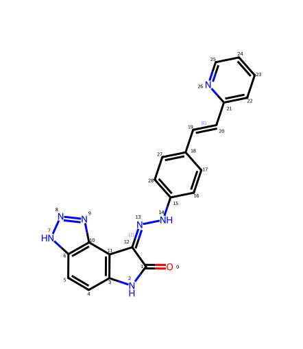 O=C1Nc2ccc3[nH]nnc3c2/C1=N/Nc1ccc(/C=C/c2ccccn2)cc1